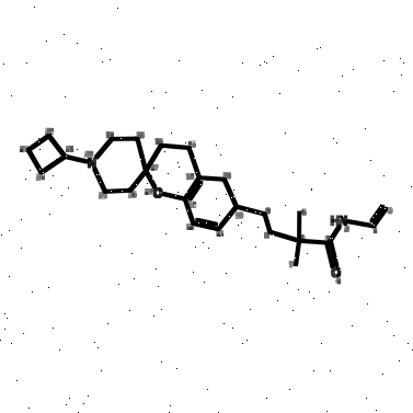 C=CNC(=O)C(C)(C)CCC1C=CC2=C(CCC3(CCN(C4CCC4)CC3)O2)C1